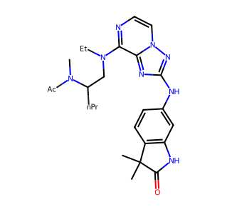 CCCC(CN(CC)c1nccn2nc(Nc3ccc4c(c3)NC(=O)C4(C)C)nc12)N(C)C(C)=O